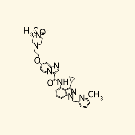 Cc1cccc(Cn2nc(C3CC3)c3c(NC(=O)c4cnc5cc(OCCN6CC[N+](C)([O-])CC6)ccn45)cccc32)n1